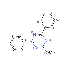 COc1nc(-c2ccccc2)nc(-c2ccccc2)n1